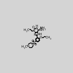 CCCOc1ccc(S(=O)(=O)N2CCCN(C)CC2)cc1-c1nc2c([nH]1)C(NN)NC(=O)N2CCC